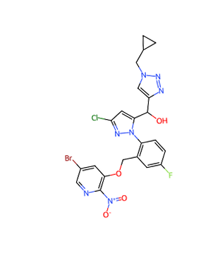 O=[N+]([O-])c1ncc(Br)cc1OCc1cc(F)ccc1-n1nc(Cl)cc1C(O)c1cn(CC2CC2)nn1